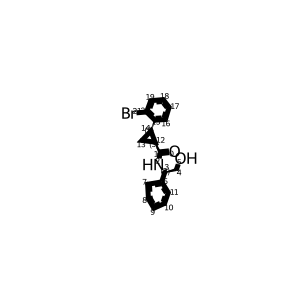 O=C(N[C@@H](CO)c1ccccc1)[C@H]1C[C@@H]1c1ccccc1Br